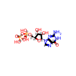 Nc1nc2c(ncn2[C@@H]2O[C@@H](CO[P@@](=O)(O)OP(=O)(O)O)[C@H](O)[C@H]2O)c(=O)[nH]1